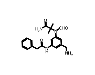 CC(C)(C(N)=O)N(C=O)c1cc(CN)cc(NC(=O)Cc2ccccc2)c1